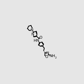 NC1=N[C@@H](CCc2ccc(NC(=O)c3ccc(N4CCCCC4)nc3)cc2)CO1